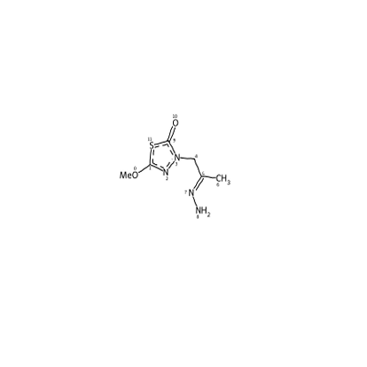 COc1nn(CC(C)=NN)c(=O)s1